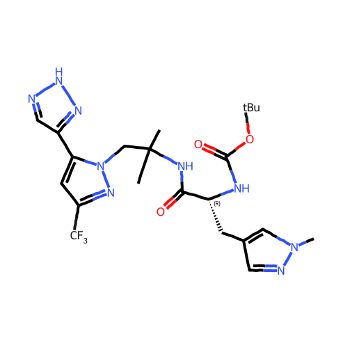 Cn1cc(C[C@@H](NC(=O)OC(C)(C)C)C(=O)NC(C)(C)Cn2nc(C(F)(F)F)cc2-c2cn[nH]n2)cn1